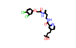 C=C(CCNC(=O)c1cc(CCC(C)(C)O)ccn1)NC(=O)COc1ccc(Cl)c(Cl)c1